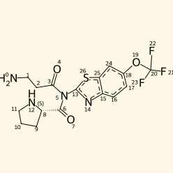 NCCC(=O)N(C(=O)[C@@H]1CCCN1)c1nc2ccc(OC(F)(F)F)cc2s1